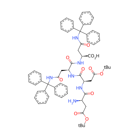 CC(C)(C)OC(=O)C[C@@H](N)C(=O)N[C@H](CC(=O)OC(C)(C)C)C(=O)N[C@@H](CC(=O)NC(c1ccccc1)(c1ccccc1)c1ccccc1)C(=O)N[C@@H](CC(=O)NC(c1ccccc1)(c1ccccc1)c1ccccc1)C(=O)O